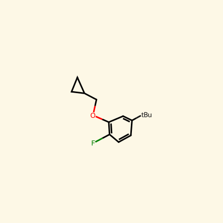 CC(C)(C)c1ccc(F)c(OCC2CC2)c1